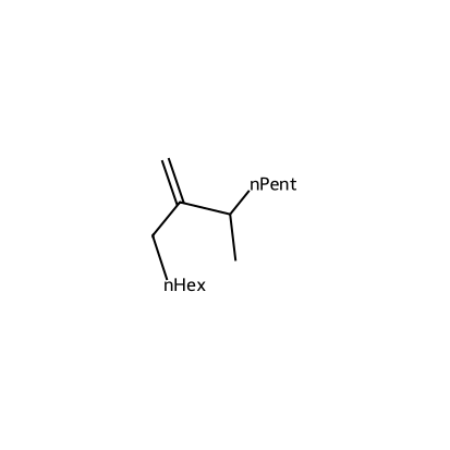 C=C(CCCCCCC)C(C)CCCCC